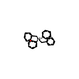 c1ccc(C[N+](Cc2ccccc2)(c2ccccc2)c2ccccc2)cc1